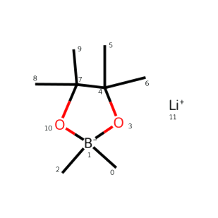 C[B-]1(C)OC(C)(C)C(C)(C)O1.[Li+]